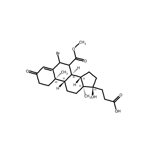 COC(=O)C1C(Br)C2=CC(=O)CC[C@]2(C)[C@H]2CC[C@@]3(C)[C@@H](CC[C@]3(O)CCC(=O)O)[C@H]12